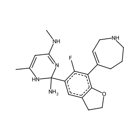 CNC1=NC(N)(c2cc3c(c(C4=CCNCCC4)c2F)OCC3)NC(C)=C1